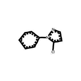 Clc1ccnn1-c1ccccc1